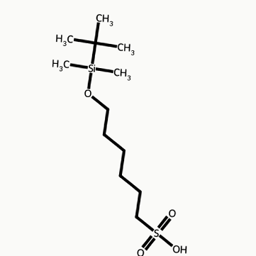 CC(C)(C)[Si](C)(C)OCCCCCCS(=O)(=O)O